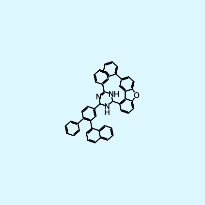 c1ccc(C2=NC(c3ccc(-c4ccccc4)c(-c4cccc5ccccc45)c3)NC(c3cccc4oc5ccc(-c6ccccc6)cc5c34)N2)cc1